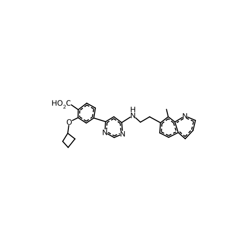 Cc1c(CCNc2cc(-c3ccc(C(=O)O)c(OC4CCC4)c3)ncn2)ccc2cccnc12